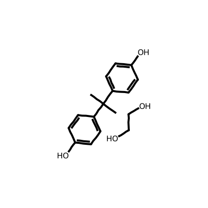 CC(C)(c1ccc(O)cc1)c1ccc(O)cc1.OCCO